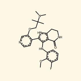 COc1c(F)cccc1Nc1c(-c2ccncc2OCC(C)(C)N(C)C)[nH]c2c1C(=O)NCC2